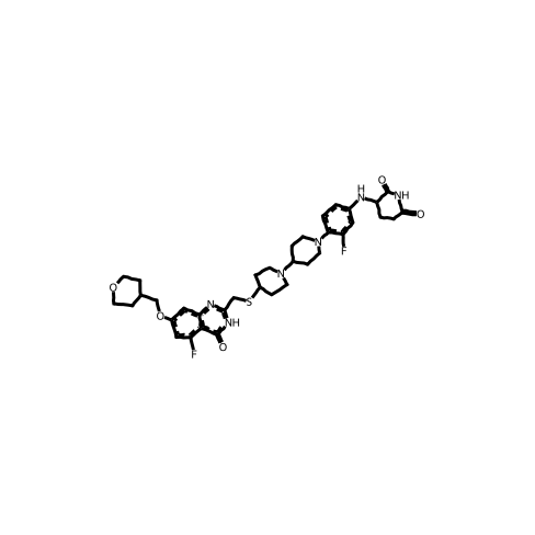 O=C1CCC(Nc2ccc(N3CCC(N4CCC(SCc5nc6cc(OCC7CCOCC7)cc(F)c6c(=O)[nH]5)CC4)CC3)c(F)c2)C(=O)N1